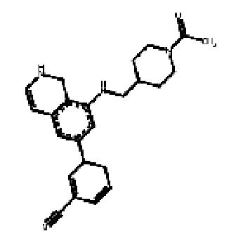 CC(=O)N1CCC(CNc2cc(C3C=C(C#N)C=CC3)cc3c2CNC=C3)CC1